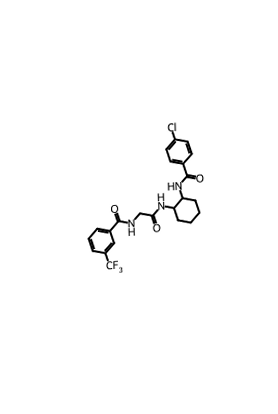 O=C(CNC(=O)c1cccc(C(F)(F)F)c1)NC1CCCCC1NC(=O)c1ccc(Cl)cc1